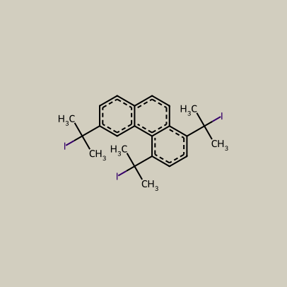 CC(C)(I)c1ccc2ccc3c(C(C)(C)I)ccc(C(C)(C)I)c3c2c1